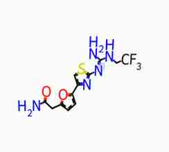 NC(=O)Cc1ccc(-c2csc(/N=C(\N)NCC(F)(F)F)n2)o1